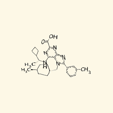 Cc1cccc(-c2nc3nc(C(=O)O)nc(N[C@H](C)C4CCC4)c3n2C[C@H]2CC[C@H](C)CC2)c1